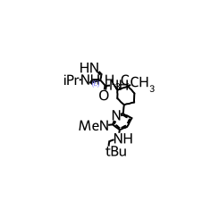 CNc1nc(C2CCC(C)(C)C(NC(=O)/C(C=N)=C/NC(C)C)C2)ccc1NCC(C)(C)C